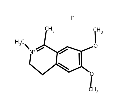 COc1cc2c(cc1OC)C(C)=[N+](C)CC2.[I-]